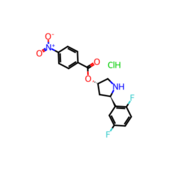 Cl.O=C(O[C@@H]1CN[C@@H](c2cc(F)ccc2F)C1)c1ccc([N+](=O)[O-])cc1